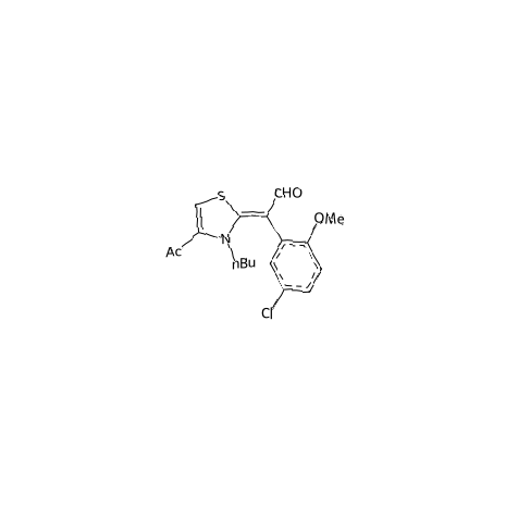 CCCCN1C(C(C)=O)=CS/C1=C(\C=O)c1cc(Cl)ccc1OC